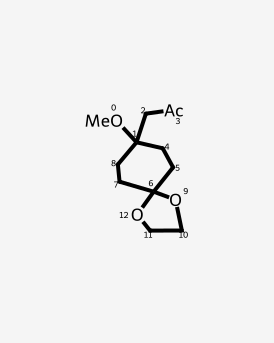 COC1(CC(C)=O)CCC2(CC1)OCCO2